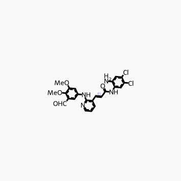 COc1cc(Nc2ncccc2/C=C/C(=O)Nc2cc(Cl)c(Cl)cc2N)cc(C=O)c1OC